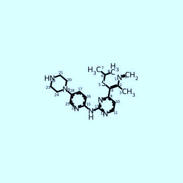 C=N/C(C)=C(\SC(C)C)c1ccnc(Nc2ccc(N3CCNCC3)cn2)n1